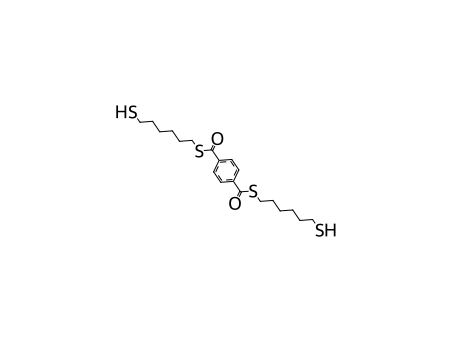 O=C(SCCCCCCS)c1ccc(C(=O)SCCCCCCS)cc1